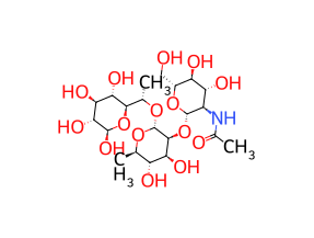 CC(=O)N[C@H]1[C@H](O[C@@H]2[C@@H](O[C@@H](C)[C@H]3O[C@@H](O)[C@H](O)[C@@H](O)[C@@H]3O)O[C@H](C)[C@@H](O)[C@@H]2O)O[C@H](CO)[C@@H](O)[C@@H]1O